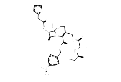 C[C@H](N)C(=O)N[C@@H](C)C(=O)OCC1=C(C(=O)OCc2ccc([N+](=O)[O-])cc2)N2C(=O)[C@@H](NC(=O)Cc3cccs3)[C@@H]2SC1